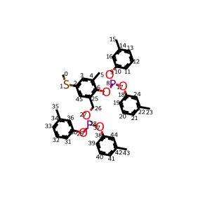 CSc1cc(C)c(OP(Oc2cccc(C)c2)Oc2cccc(C)c2)c(COP(Oc2cccc(C)c2)Oc2cccc(C)c2)c1